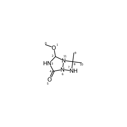 COC1NC(=O)N2NC(C)(C)N12